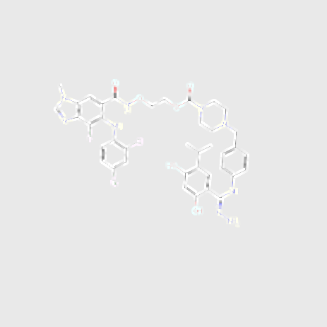 CC(C)c1cc(/C(=N/N)Nc2ccc(CN3CCN(C(=O)OCCONC(=O)c4cc5c(ncn5C)c(F)c4Nc4ccc(Br)cc4Cl)CC3)cc2)c(O)cc1O